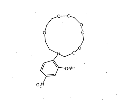 COc1cc([N+](=O)[O-])ccc1N1CCOCCOCCOCCOCC1